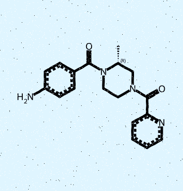 C[C@@H]1CN(C(=O)c2ccccn2)CCN1C(=O)c1ccc(N)cc1